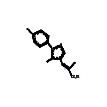 CCOC(=O)/C(C)=C/c1cnn(-c2ccc(C)cc2)c1C